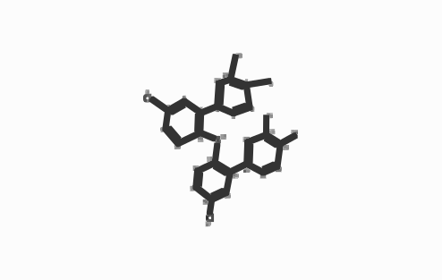 Cc1ccc(-c2cc(Cl)ccc2Sc2ccc(Cl)cc2-c2ccc(C)c(C)c2)cc1C